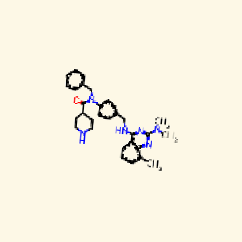 Cc1cccc2c(NCc3ccc(N(Cc4ccccc4)C(=O)C4CCNCC4)cc3)nc(N(C)C)nc12